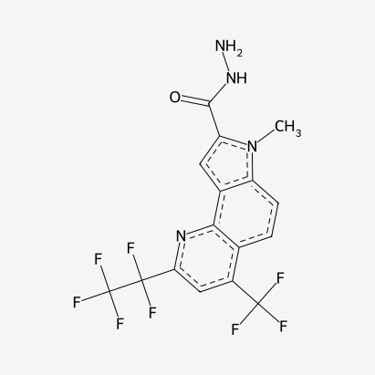 Cn1c(C(=O)NN)cc2c3nc(C(F)(F)C(F)(F)F)cc(C(F)(F)F)c3ccc21